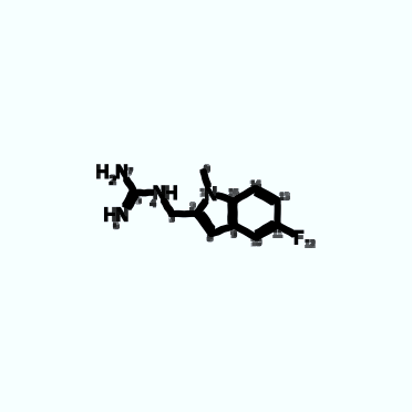 Cn1c(CNC(=N)N)cc2cc(F)ccc21